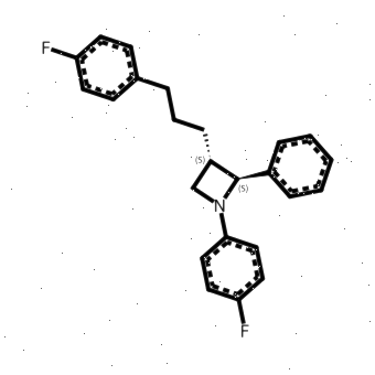 Fc1ccc(CCC[C@H]2CN(c3ccc(F)cc3)[C@@H]2c2ccccc2)cc1